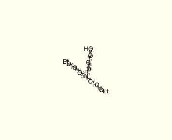 CCOCCOCCOCCN(CCOCCOCCOCC)CCOCCOCCOCCO